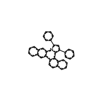 c1ccc(-c2cc(-c3ccccc3)n3c4cc5ccccc5cc4c4ccc5ccccc5c4c23)cc1